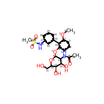 COc1cccc(O[C@@H]2OC(CO)[C@H](O)C(O)C2NC(C)=O)c1-c1cccc(NS(C)(=O)=O)c1